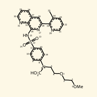 COCCOCCN(C(=O)O)c1ccc(S(=O)(=O)Nc2nc(-c3ncccc3C)cc3cccnc23)cc1